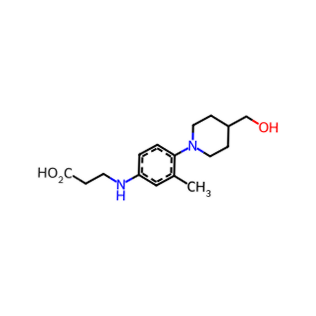 Cc1cc(NCCC(=O)O)ccc1N1CCC(CO)CC1